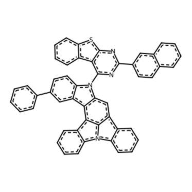 c1ccc(-c2ccc3c(c2)c2c4c5ccccc5n5c6ccccc6c(cc2n3-c2nc(-c3ccc6ccccc6c3)nc3sc6ccccc6c23)c45)cc1